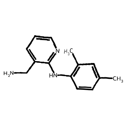 Cc1ccc(Nc2ncccc2CN)c(C)c1